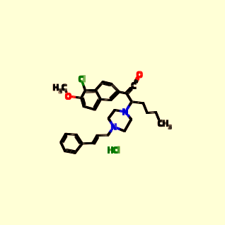 CCCCC(C(=C=O)c1ccc2c(Cl)c(OC)ccc2c1)N1CCN(CC=Cc2ccccc2)CC1.Cl